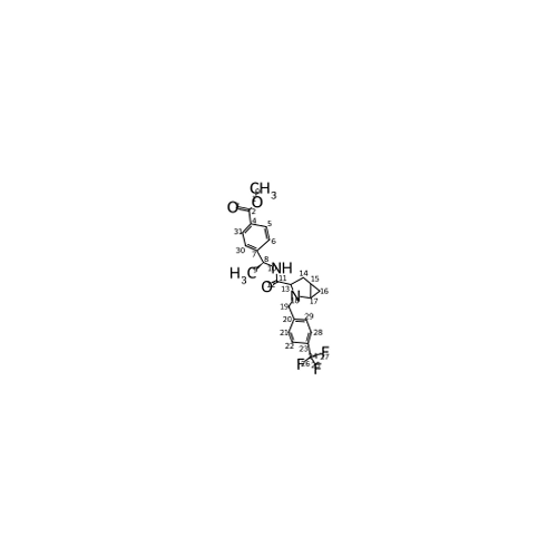 COC(=O)c1ccc([C@H](C)NC(=O)C2CC3CC3N2Cc2ccc(C(F)(F)F)cc2)cc1